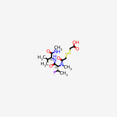 CNC(=O)[C@@H](NC(=O)[C@@H](C(C)I)N(C)C(=O)CSSCC(=O)O)C(C)C